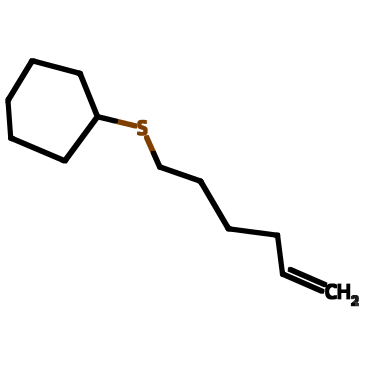 C=CCCCCSC1CCCCC1